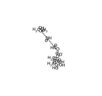 COc1cc(OCc2cccc(NC(=O)CCCCCCC(=O)NCCCCCC(=O)OC(C)(C)C)c2)c(Cl)cc1C(=O)N[C@H]1[C@@H](OC)O[C@H](CO)[C@@H](O)[C@@H]1O